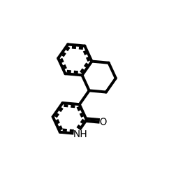 O=c1[nH]cccc1C1CCCc2ccccc21